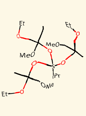 CCC[Si](OC(C)(OC)OCC)(OC(C)(OC)OCC)OC(C)(OC)OCC